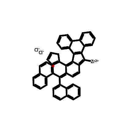 [Cl-].[Cl-].[Zr+2][C]1=c2ccc(=C(c3cccc4ccccc34)c3cccc4ccccc34)c(C3=CC=CC3)c2-c2c1c1ccccc1c1ccccc21